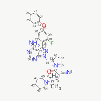 CC(C)(/C=C(/C#N)C(=O)N1CCC[C@H]1Cn1nc(-c2ccc(Oc3ccccc3)cc2F)c2c(N)ncnc21)N1CCCCC1